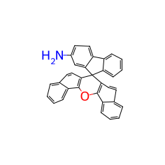 Nc1ccc2c(c1)C1(c3ccccc3-2)c2ccc3ccccc3c2Oc2c1ccc1ccccc21